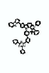 CC1(C)c2ccccc2-c2c1c1c(ccc3c4cc(-c5cccc6c5sc5ccccc56)ccc4n(-c4ccc(-c5cccc(-c6nc(-c7ccccc7)nc(-c7ccccc7)n6)c5)cc4)c31)n2-c1ccccc1